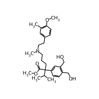 COC(=O)C(CCCN(C)CCc1ccc(OC)c(C)c1)(c1ccc(CO)c(CO)c1)C(C)C